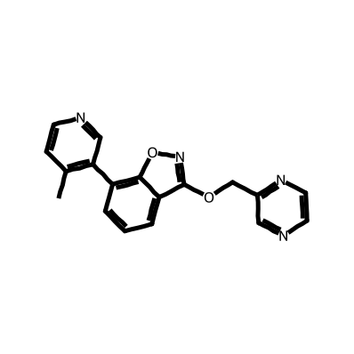 Cc1ccncc1-c1cccc2c(OCc3cnccn3)noc12